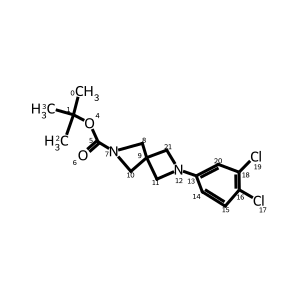 CC(C)(C)OC(=O)N1CC2(C1)CN(c1ccc(Cl)c(Cl)c1)C2